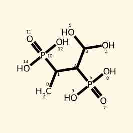 CC(C(C(O)O)P(=O)(O)O)P(=O)(O)O